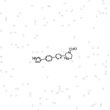 O=CN1CCNC(c2ccc(-c3ccc(-c4cn[nH]c4)cc3)cc2)C1